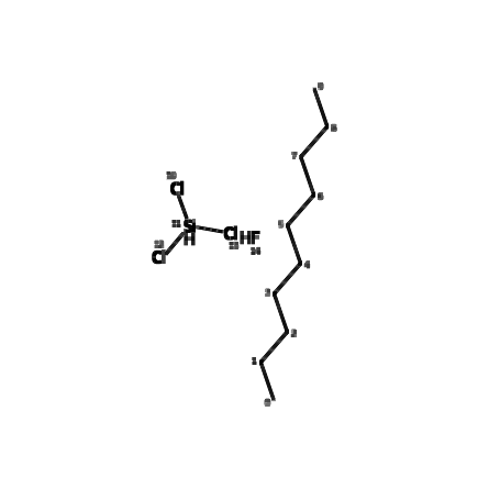 CCCCCCCCCC.Cl[SiH](Cl)Cl.F